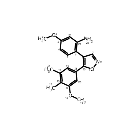 COc1ccc(-c2cnoc2-c2cc(C)c(C)c(OC)c2)c(N)c1